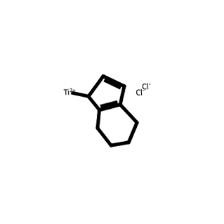 [Cl-].[Cl-].[Ti+2][CH]1C=CC2=C1CCCC2